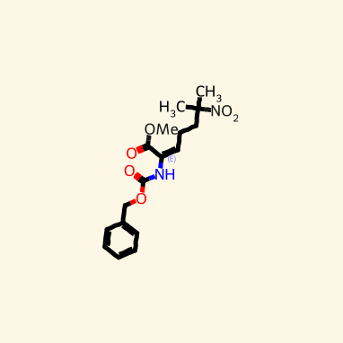 COC(=O)/C(=C\CCC(C)(C)[N+](=O)[O-])NC(=O)OCc1ccccc1